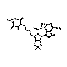 COC(=O)C(CCSCC1=C2OC(C)(C)OC2C(c2c[nH]c3c(N)ncnc23)N1C(=O)OC(C)(C)C)NC(=O)OC(C)(C)C